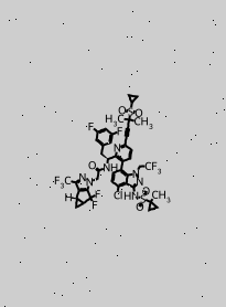 CC1(S(=O)(=O)Nc2nn(CC(F)(F)F)c3c(-c4ccc(C#CC(C)(C)S(=O)(=O)C5CC5)nc4[C@H](Cc4cc(F)cc(F)c4)NC(=O)Cn4nc(C(F)(F)F)c5c4C(F)(F)C4C[C@H]54)ccc(Cl)c23)CC1